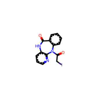 O=C1Nc2cccnc2N(C(=O)CI)c2ccccc21